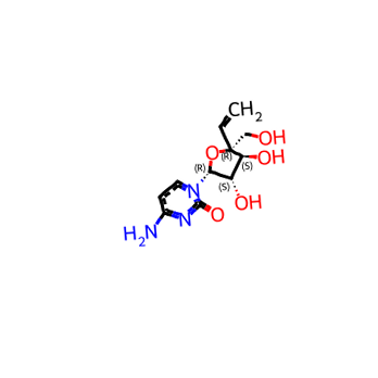 C=C[C@]1(CO)O[C@@H](n2ccc(N)nc2=O)[C@@H](O)[C@@H]1O